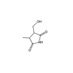 CC1C(=O)NC(=O)C1CO